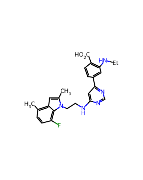 CCNc1cc(-c2cc(NCCn3c(C)cc4c(C)ccc(F)c43)ncn2)ccc1C(=O)O